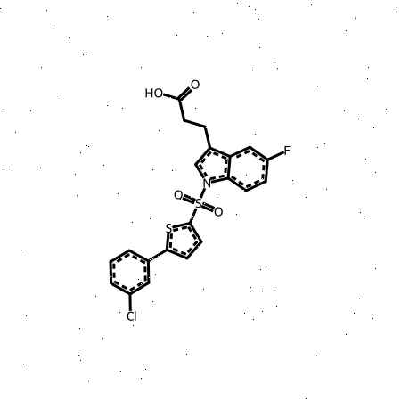 O=C(O)CCc1cn(S(=O)(=O)c2ccc(-c3cccc(Cl)c3)s2)c2ccc(F)cc12